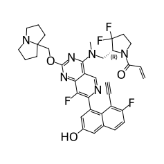 C#Cc1c(F)ccc2cc(O)cc(-c3ncc4c(N(C)C[C@H]5N(C(=O)C=C)CCC5(F)F)nc(OCC56CCCN5CCC6)nc4c3F)c12